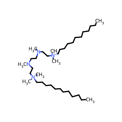 CCCCCCCCCCCC[N+](C)(C)CCN(C)CCN(C)CC[N+](C)(C)CCCCCCCCCCCC